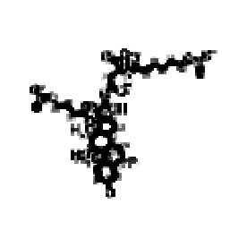 C[C@]12C=CC(=O)C=C1[C@@H](F)CC1C3C[C@@H](O)[C@](OC(=O)CCCO[N+](=O)[O-])(C(=O)COC(=O)CC(NC(=O)CCCCCO[N+](=O)[O-])C(=O)O)[C@@]3(C)C[C@H](O)[C@@]12F